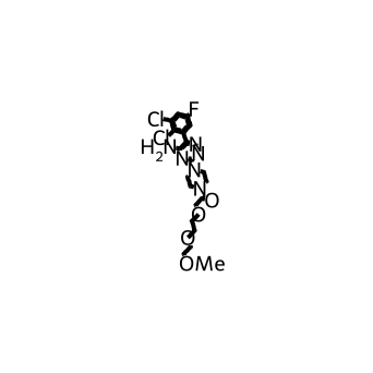 COCCOCCOCC(=O)N1CCN(c2nnc(-c3cc(F)cc(Cl)c3Cl)c(N)n2)CC1